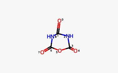 O=c1[nH]c(=O)oc(=O)[nH]1